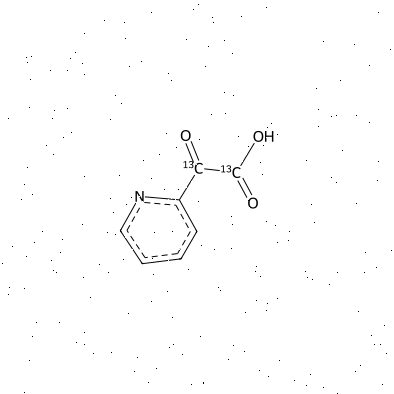 O=[13C](O)[13C](=O)c1ccccn1